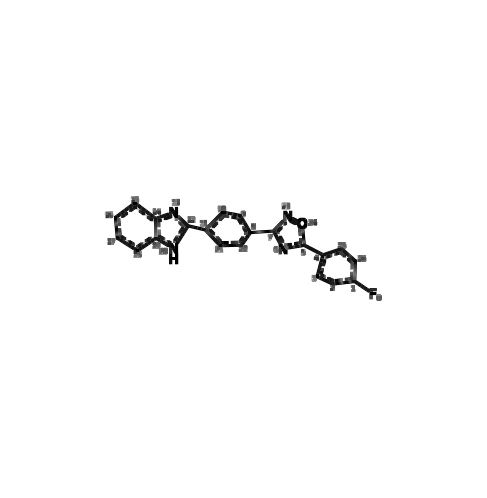 Fc1ccc(-c2nc(-c3ccc(-c4nc5ccccc5[nH]4)cc3)no2)cc1